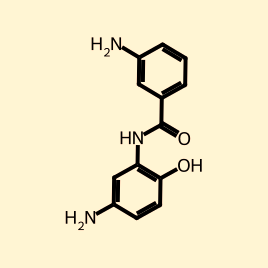 Nc1cccc(C(=O)Nc2cc(N)ccc2O)c1